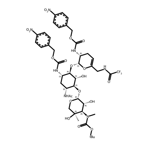 CC(=O)N[C@@H]1C[C@H](NC(=O)OCc2ccc([N+](=O)[O-])cc2)[C@@H](O[C@H]2OC(CNC(=O)C(F)(F)F)=CC[C@H]2NC(=O)OCc2ccc([N+](=O)[O-])cc2)[C@H](O)[C@H]1O[C@H]1OC[C@](C)(O)[C@H](N(C)C(=O)OC(C)(C)C)[C@H]1O